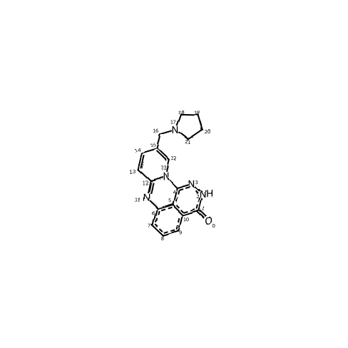 O=c1[nH]nc2c3c(cccc13)N=C1C=CC(CN3CCCC3)=CN12